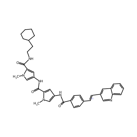 Cn1cc(NC(=O)c2cc(NC(=O)c3ccc(/C=C/c4cnc5ccccc5c4)cc3)cn2C)cc1C(=O)NCCC1CCCCC1